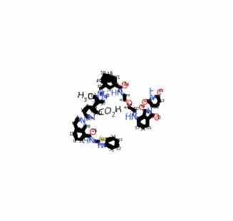 Cc1c(-c2ccc(N3CCc4cccc(C(=O)Nc5nc6ccccc6s5)c4C3)nc2C(=O)O)cnn1CC12CC3CC1CC(C(=O)NCCOCCNc1cccc4c1C(=O)N(C1CCC(=O)NC1=O)C4=O)(C3)C2